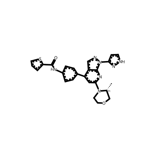 C[C@@H]1COCCN1c1cc(-c2ccc(NC(=O)c3cccs3)cc2)c2cnn(-c3cc[nH]n3)c2n1